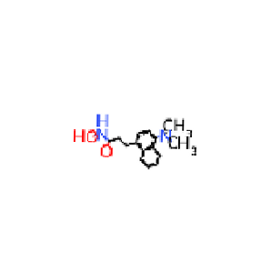 CN(C)c1ccc(CCC(=O)NO)c2ccccc12